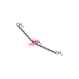 CCCCCCCCCCCCCCCCP(C)(O)(O)CCCCCCCCCCCCCCCC